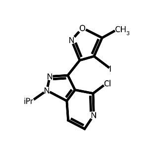 Cc1onc(-c2nn(C(C)C)c3ccnc(Cl)c23)c1I